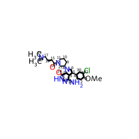 COc1ccc(-c2cn(C3CCCN(C(=O)C=CCN(C)C)C3)c3c(=O)[nH]nc(N)c23)cc1Cl